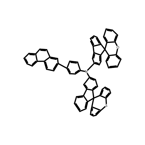 c1ccc2c(c1)Oc1ccccc1C21c2ccccc2-c2cc(N(c3ccc(-c4ccc5c(ccc6ccccc65)c4)cc3)c3ccc4c(c3)-c3ccccc3C43c4ccccc4Sc4ccccc43)ccc21